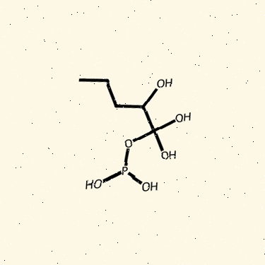 CCCC(O)C(O)(O)OP(O)O